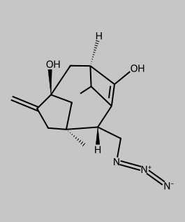 C=C1C[C@@]2(C)C[C@@]1(O)C[C@H]1C(O)=C(C1C)[C@@H]2CN=[N+]=[N-]